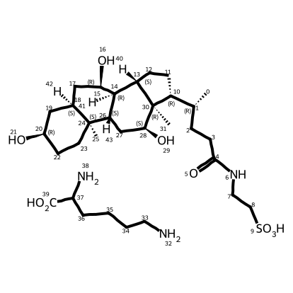 C[C@H](CCC(=O)NCCS(=O)(=O)O)[C@H]1CC[C@H]2[C@@H]3[C@H](O)C[C@@H]4C[C@H](O)CC[C@]4(C)[C@H]3C[C@H](O)[C@]12C.NCCCCC(N)C(=O)O